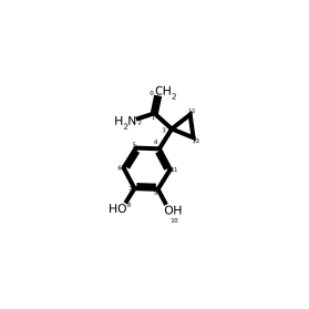 C=C(N)C1(c2ccc(O)c(O)c2)CC1